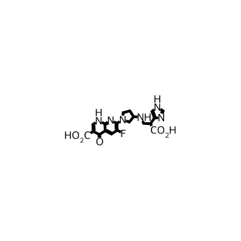 O=C(O)c1c[nH]c2nc(N3CCC(NCC(C(=O)O)c4c[nH]cn4)C3)c(F)cc2c1=O